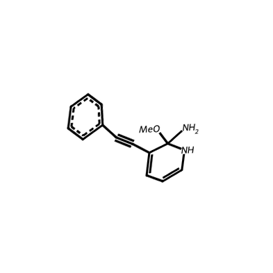 COC1(N)NC=CC=C1C#Cc1ccccc1